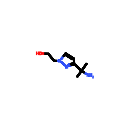 CC(C)(N)c1ccn(CCO)n1